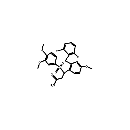 COc1ccc(N(CC(N)=O)S(=O)(=O)c2ccc(OC)c(OC)c2)c(Cc2c(F)cccc2F)c1